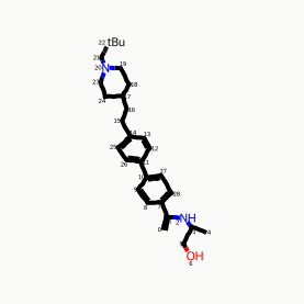 C=C(NC(C)CO)c1ccc(-c2ccc(CCC3CCN(CC(C)(C)C)CC3)cc2)cc1